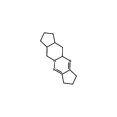 C1CC2=NC3CC4CCCC4CN3N=C2C1